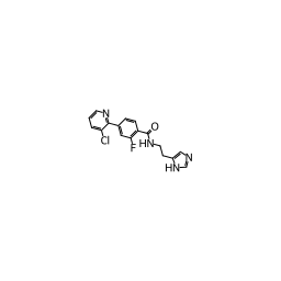 O=C(NCCc1cnc[nH]1)c1ccc(-c2ncccc2Cl)cc1F